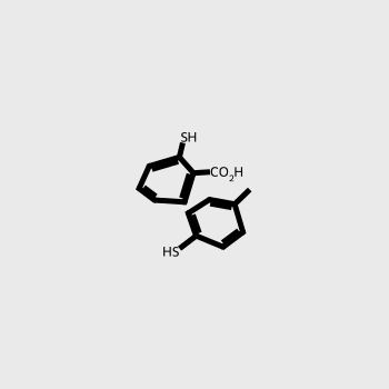 Cc1ccc(S)cc1.O=C(O)c1ccccc1S